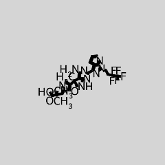 CC(C)(Cn1cc(C2(C)C(=O)Nc3nc(-c4nn(CCC(F)(F)C(F)(F)F)c5ncccc45)nc(N)c32)cn1)C(=O)O